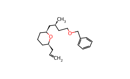 C=CC[C@H]1CCC[C@@H](C[C@@H](C)CCOCc2ccccc2)O1